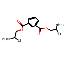 CCCCCCC(CC)COC(=O)c1cccc(C(=O)OCC(CC)CCCCCC)c1